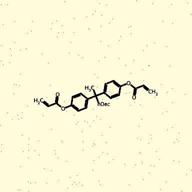 C=CC(=O)Oc1ccc(C(C)(CCCCCCCCCC)c2ccc(OC(=O)C=C)cc2)cc1